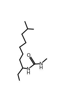 CCC(CCCCCC(C)C)NC(=O)NC